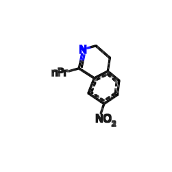 CCCC1=NCCc2ccc([N+](=O)[O-])cc21